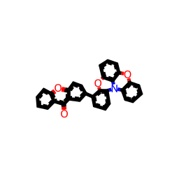 O=c1c2ccccc2oc2ccc(-c3cccc4c3Oc3cccc5c3N4c3ccccc3O5)cc12